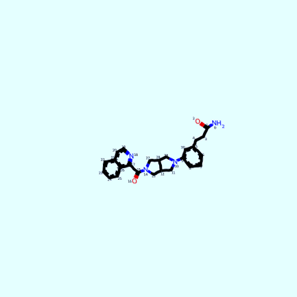 NC(=O)CCc1cccc(N2CC3CN(C(=O)c4nccc5ccccc45)CC3C2)c1